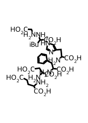 CCC(C)C(N)C(=O)O.NC(CC(=O)O)C(=O)O.NC(CCC(=O)O)C(=O)O.NC(Cc1c[nH]cn1)C(=O)O.NC(Cc1ccccc1)C(=O)O.NCC(=O)O